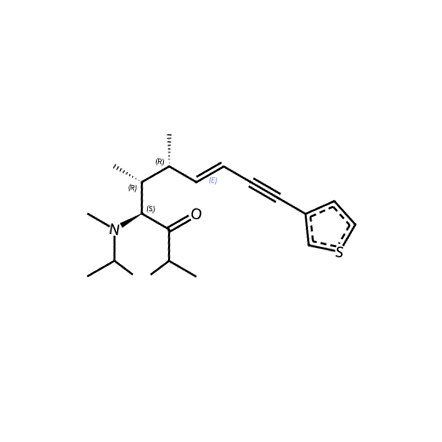 CC(C)C(=O)[C@H]([C@H](C)[C@H](C)/C=C/C#Cc1ccsc1)N(C)C(C)C